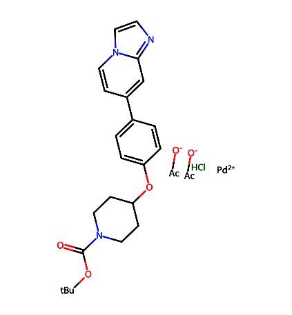 CC(=O)[O-].CC(=O)[O-].CC(C)(C)OC(=O)N1CCC(Oc2ccc(-c3ccn4ccnc4c3)cc2)CC1.Cl.[Pd+2]